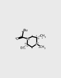 CCC(C)C(=O)N1C[C@H](C)N(C)C[C@@H]1CC